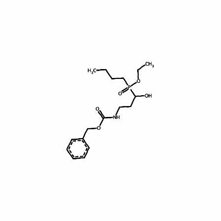 CCCCP(=O)(OCC)C(O)CCNC(=O)OCc1ccccc1